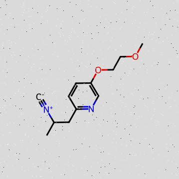 [C-]#[N+]C(C)Cc1ccc(OCCOC)cn1